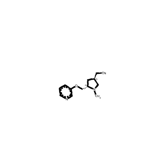 CN1C[C@H](CC#N)C[C@H]1COc1cccnc1